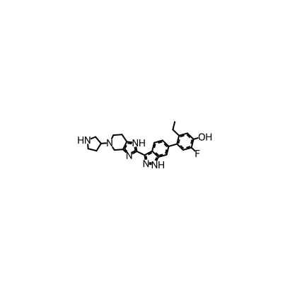 CCc1cc(O)c(F)cc1-c1ccc2c(-c3nc4c([nH]3)CCN(C3CCNC3)C4)n[nH]c2c1